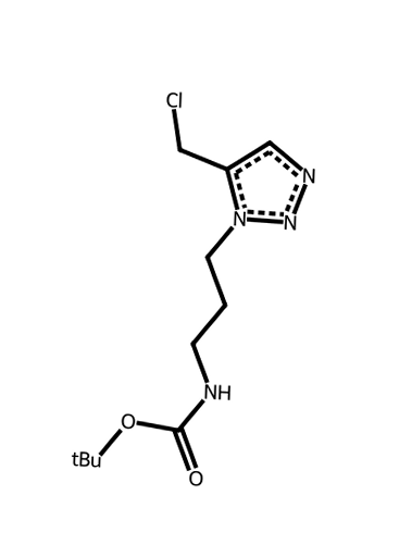 CC(C)(C)OC(=O)NCCCn1nncc1CCl